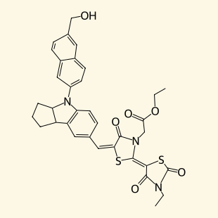 CCOC(=O)Cn1c(=O)/c(=C\c2ccc3c(c2)C2CCCC2N3c2ccc3cc(CO)ccc3c2)s/c1=C1/SC(=O)N(CC)C1=O